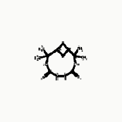 CC1(C)OC(=O)NNC(=O)OC(C)(C)C2CC1C2